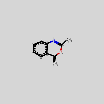 C=C1OC(C)=Nc2ccccc21